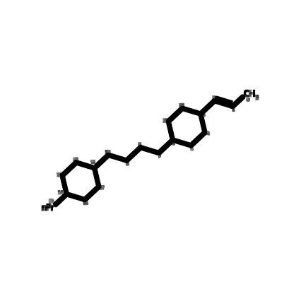 C/C=C/C1CCC(CCCCC2CCC(CCC)CC2)CC1